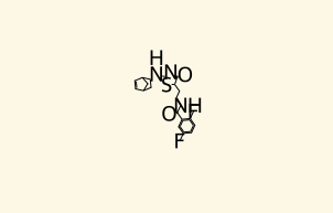 O=C(NCCC1SC(NC2CC3C=CC2C3)=NC1=O)c1cc(F)ccc1F